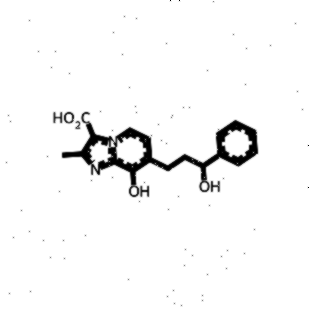 Cc1nc2c(O)c(CCC(O)c3ccccc3)ccn2c1C(=O)O